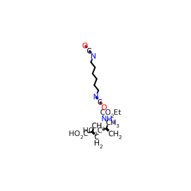 C=C(C)C(=O)O.C=C(C)C(=O)O.CCOC(N)=O.O=C=NCCCCCCN=C=O